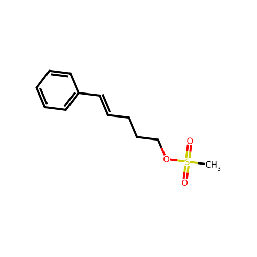 CS(=O)(=O)OCCCC=Cc1ccccc1